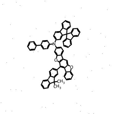 CC1(C)c2ccccc2-c2ccc(-c3c4oc5cc(N(c6ccc(-c7ccccc7)cc6)c6ccc7c(c6)C6(c8ccccc8-c8ccccc86)c6ccccc6-7)ccc5c4cc4oc5ccccc5c34)cc21